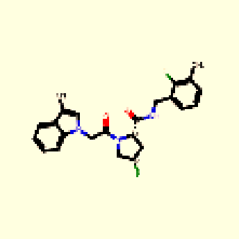 Cc1cccc(CNC(=O)[C@@H]2C[C@@H](F)CN2C(=O)Cn2cc(C#N)c3ccccc32)c1F